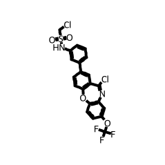 O=S(=O)(CCl)Nc1cccc(-c2ccc3c(c2)C(Cl)=Nc2cc(OC(F)(F)F)ccc2O3)c1